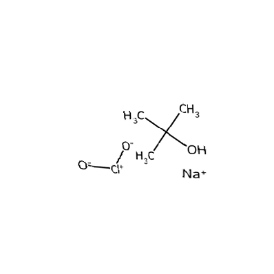 CC(C)(C)O.[Na+].[O-][Cl+][O-]